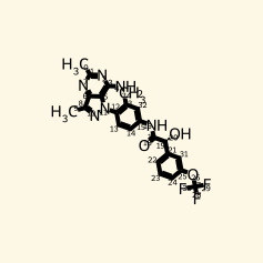 Cc1nc(N)c2c(n1)c(C)nn2-c1ccc(NC(=O)[C@H](O)c2cccc(OC(F)(F)F)c2)cc1C